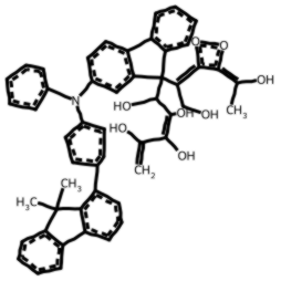 C=C(O)/C(O)=C(/O)C(O)C1(/C(CO)=c2\oo\c2=C(\C)O)c2ccccc2-c2ccc(N(c3ccccc3)c3ccc(-c4cccc5c4C(C)(C)c4ccccc4-5)cc3)cc21